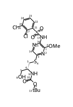 COc1nc(SC[C@@H](CO)NC(=O)OC(C)(C)C)cnc1NS(=O)(=O)c1cccc(Cl)c1Cl